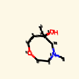 CN1CCOCCC(C)(O)C1